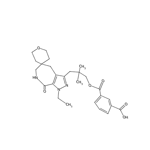 CCn1nc(CC(C)(C)COC(=O)c2cccc(C(=O)O)c2)c2c1C(=O)NCC1(CCOCC1)C2